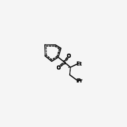 [CH2]C(C)C[C](CC)S(=O)(=O)c1ccccc1